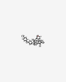 C[C@@H](NS(=O)(=O)c1ccc(Oc2ccc(Cl)cc2)cc1)[C@@]1(c2ccccc2)NC(=O)NC1=O